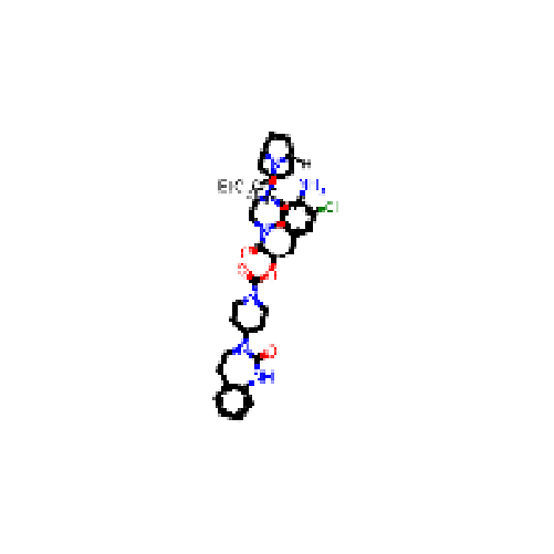 CCOC(=O)CN1C2CC[C@@H]1CC(N1CCN(C(=O)[C@@H](Cc3cc(Cl)c(N)c(C(F)(F)F)c3)OC(=O)N3CCC(N4CCc5ccccc5NC4=O)CC3)CC1)C2